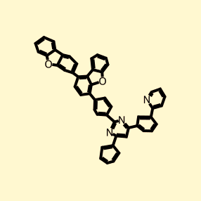 c1ccc(-c2cc(-c3cccc(-c4ccccn4)c3)nc(-c3ccc(-c4ccc(-c5ccc6c(c5)oc5ccccc56)c5c4oc4ccccc45)cc3)n2)cc1